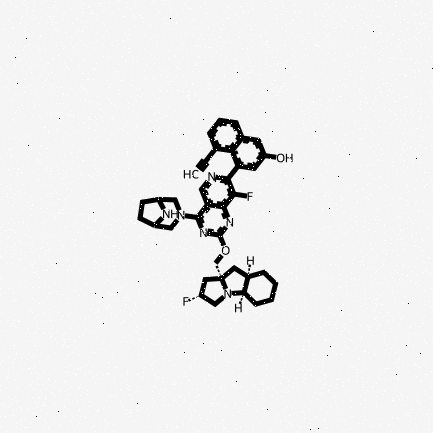 C#Cc1cccc2cc(O)cc(-c3ncc4c(N5CC6CCC(C5)N6)nc(OC[C@@]56C[C@@H](F)CN5[C@@H]5CCCC[C@@H]5C6)nc4c3F)c12